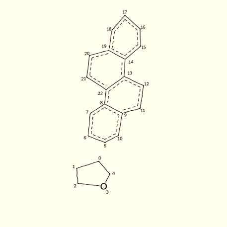 C1CCOC1.c1ccc2c(c1)ccc1c3ccccc3ccc21